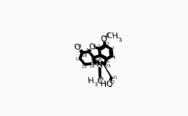 COc1ccc2c3c1OC1C(=O)CCC[C@@]31CCN(C)[C@@H](CO)C2